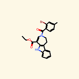 CCOC(=O)C1=CN(C(=O)c2ccc(C)cc2Br)CCc2c1[nH]c1ccccc21